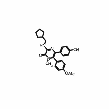 COc1ccc(-c2c(-c3ccc(C#N)cc3)nc(NCC3CCCC3)c(=O)n2C)cc1